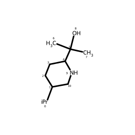 CC(C)C1CCC(C(C)(C)O)NC1